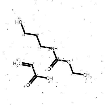 C=CC(=O)O.CCOC(=O)NCCCO